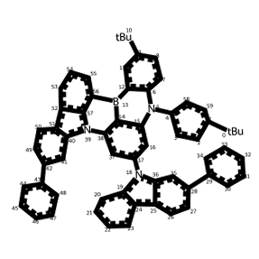 CC(C)(C)c1ccc(N2c3ccc(C(C)(C)C)cc3B3c4c2cc(-n2c5ccccc5c5ccc(-c6ccccc6)cc52)cc4-n2c4cc(-c5ccccc5)ccc4c4cccc3c42)cc1